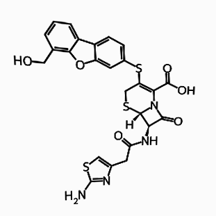 Nc1nc(CC(=O)N[C@@H]2C(=O)N3C(C(=O)O)=C(Sc4ccc5c(c4)oc4c(CO)cccc45)CS[C@@H]23)cs1